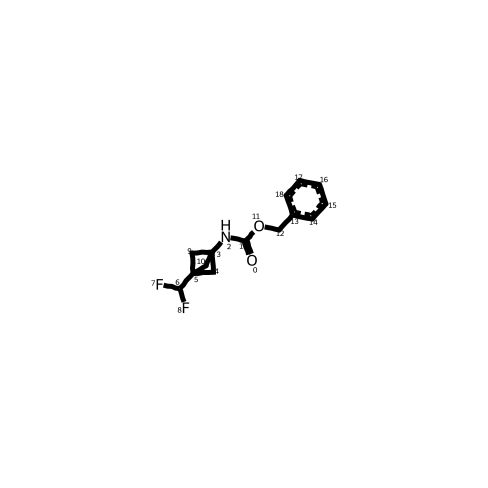 O=C(NC12CC(C(F)F)(C1)C2)OCc1ccccc1